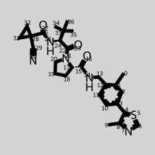 Cc1cc(-c2scnc2C)ccc1CNC(=O)[C@@H]1CCCN1C(=O)[C@@H](NC(=O)C1(C#N)CC1)C(C)(C)C